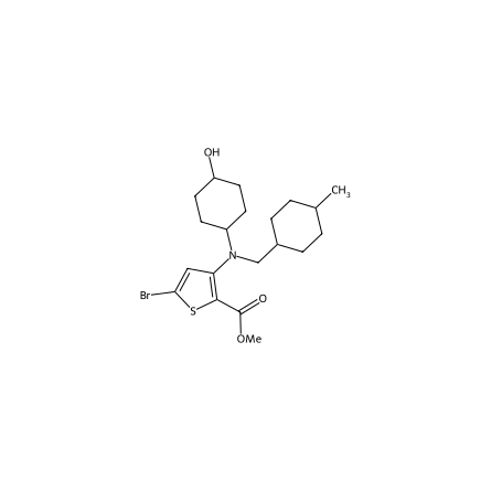 COC(=O)c1sc(Br)cc1N(CC1CCC(C)CC1)C1CCC(O)CC1